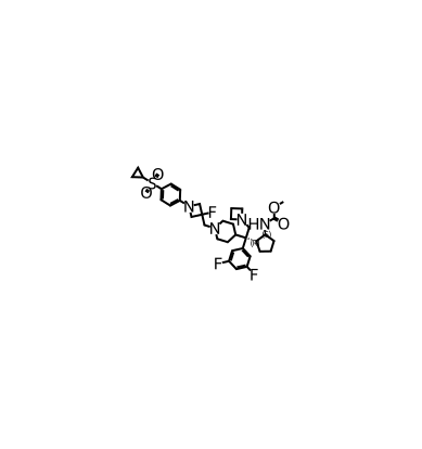 COC(=O)N[C@H]1CCC[C@@H]1C(CN1CCC1)(c1cc(F)cc(F)c1)C1CCN(CC2(F)CN(c3ccc(S(=O)(=O)C4CC4)cc3)C2)CC1